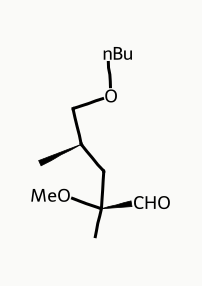 CCCCOC[C@H](C)C[C@@](C)(C=O)OC